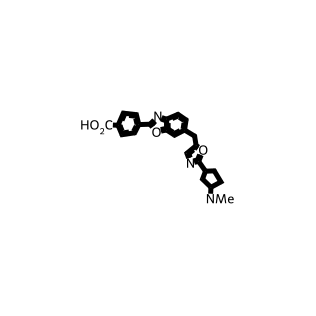 CNC1CCC(c2ncc(Cc3ccc4nc(-c5ccc(C(=O)O)cc5)oc4c3)o2)C1